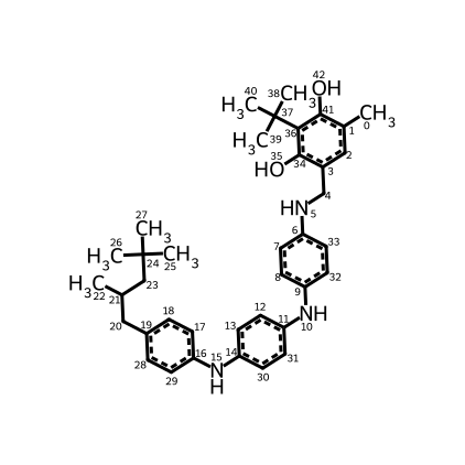 Cc1cc(CNc2ccc(Nc3ccc(Nc4ccc(CC(C)CC(C)(C)C)cc4)cc3)cc2)c(O)c(C(C)(C)C)c1O